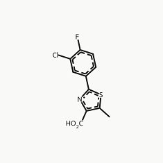 Cc1sc(-c2ccc(F)c(Cl)c2)nc1C(=O)O